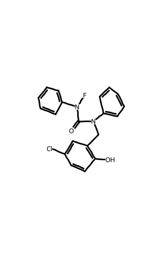 O=C(N(F)c1ccccc1)N(Cc1cc(Cl)ccc1O)c1ccccc1